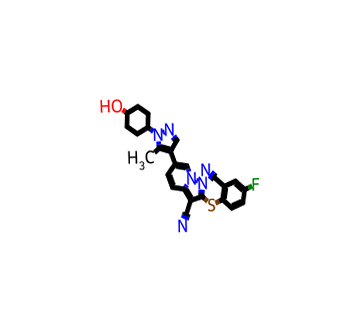 Cc1c(-c2ccc3c(C#N)c(Sc4ccc(F)cc4C#N)nn3c2)cnn1C1CCC(O)CC1